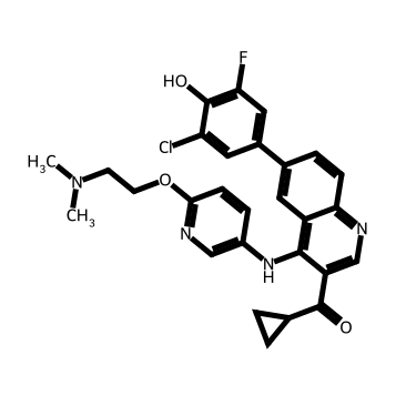 CN(C)CCOc1ccc(Nc2c(C(=O)C3CC3)cnc3ccc(-c4cc(F)c(O)c(Cl)c4)cc23)cn1